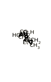 C=C1CC(C)CC(CC)(COc2cc(F)c(C(=O)N3CC(O)(C(F)(F)F)C[C@H]3C(=O)O)cc2C2CC2)C1